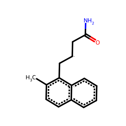 Cc1ccc2ccccc2c1C[CH]CC(N)=O